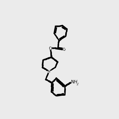 Nc1cccc(CN2CCC(OC(=O)c3ccccc3)CC2)c1